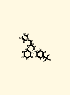 CC(C)(C)c1ccc(OCC(Cn2ccnc2)SC2CCCCC2)cc1